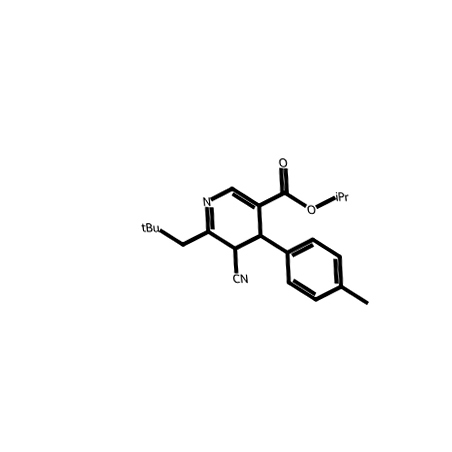 Cc1ccc(C2C(C(=O)OC(C)C)=CN=C(CC(C)(C)C)C2C#N)cc1